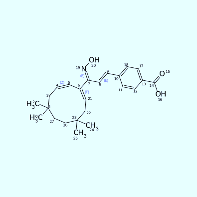 CC1(C)C\C=C/C(C(/C=C/c2ccc(C(=O)O)cc2)=N/O)=C\CC(C)(C)CC1